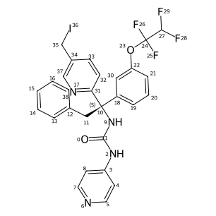 O=C(Nc1ccncc1)N[C@@](Cc1ccccc1)(c1cccc(OC(F)(F)C(F)F)c1)c1ccc(CI)cn1